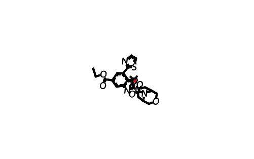 CCOC(=O)c1cc(-c2nccs2)c2oc(N3CC4COCC(C3)N4C(=O)OC(C)(C)C)nc2c1